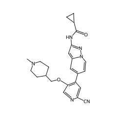 CN1CCC(COc2cnc(C#N)cc2-c2ccn3nc(NC(=O)C4CC4)cc3c2)CC1